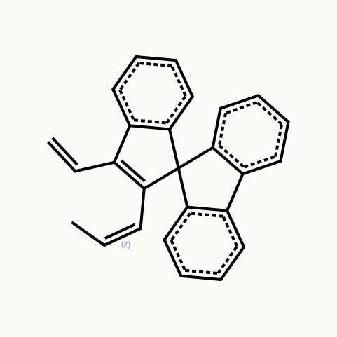 C=CC1=C(/C=C\C)C2(c3ccccc31)c1ccccc1-c1ccccc12